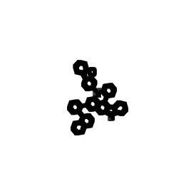 c1cc(-c2ccccc2-c2cccc3ccccc23)cc(N(c2ccc3c(c2)oc2ccccc23)c2ccccc2-c2cccc3sc4ccccc4c23)c1